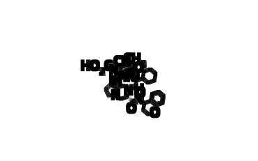 C[C@H](C(=O)N[C@H](C(=O)N1C[C@H]2CCCN2C[C@H]1C(=O)N[C@@H]1CCOc2ccccc21)C1CCCCC1)C(C)(NC(=O)O)C(C)(C)C